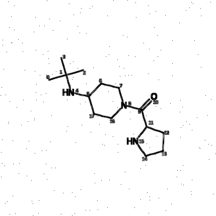 CC(C)(C)NC1CCN(C(=O)C2CCCN2)CC1